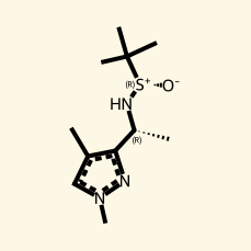 Cc1cn(C)nc1[C@@H](C)N[S@@+]([O-])C(C)(C)C